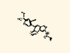 CC[C@@H](O)c1cc(C)c(-c2cc3cnc(NC(=O)C4CC4)cc3n3cnnc23)cn1